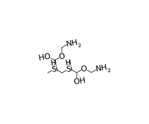 C[SiH](C[SiH](C)C(O)OCN)C(O)OCN